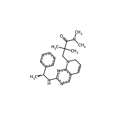 C[C@H](Nc1ncc2c(n1)N(CC(C)(C)C(=O)N(C)C)CC=C2)c1ccccc1